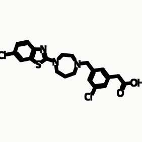 O=C(O)Cc1cc(Cl)cc(CN2CCCN(c3nc4ccc(Cl)cc4s3)CC2)c1